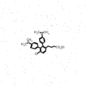 CCOC(=O)CCCc1ccc(Cl)c(-c2ccc(N(C)C)cc2)c1-c1ccc(N(C)C)cc1